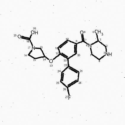 CC1CNCCN1C(=O)c1ccc(OC2CCN(C(=O)O)C2)c(-c2ccc(F)cc2)c1